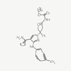 CCC(CC#N)(CCNC(=O)OC(C)(C)C)n1cc(C(N)=O)c(Nc2ccc(C)cc2)n1